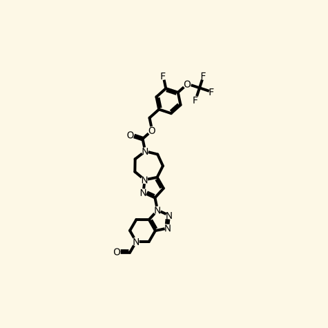 O=CN1CCc2c(nnn2-c2cc3n(n2)CCN(C(=O)OCc2ccc(OC(F)(F)F)c(F)c2)CC3)C1